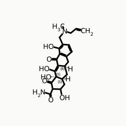 C=CCN(C)Cc1ccc2c(c1O)C(=O)C1=C(O)[C@]3(O)C(=O)C(C(N)=O)C(O)C[C@@H]3C[C@@H]1C2